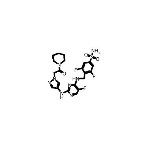 NS(=O)(=O)c1cc(F)c(CNc2nc(Nc3cnn(CC(=O)N4CCCCC4)c3)ncc2F)c(F)c1